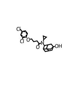 O=C(CCCOc1ccc(Cl)cc1Cl)N(C1CC1)C1C2CC3CC1CC(O)(C3)C2